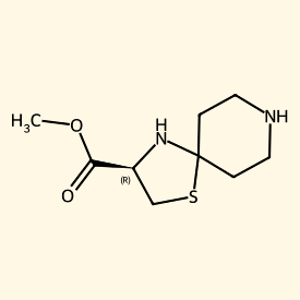 COC(=O)[C@@H]1CSC2(CCNCC2)N1